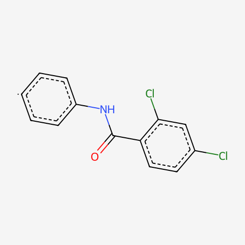 O=C(Nc1cc[c]cc1)c1ccc(Cl)cc1Cl